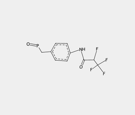 O=PCc1ccc(NC(=O)C(F)C(F)(F)F)cc1